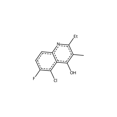 CCc1nc2ccc(F)c(Cl)c2c(O)c1C